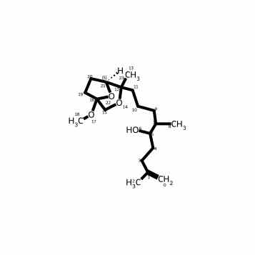 C=C(C)CCC(O)C(C)CCCC1(C)OCC2(OC)CC[C@@H]1O2